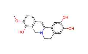 COc1ccc2c(c1O)CN1CCc3cc(O)c(O)cc3C1=C2